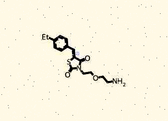 CCc1ccc(/C=C2\SC(=O)N(CCOCCN)C2=O)cc1